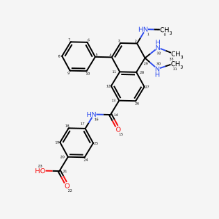 CNC1C=C(c2ccccc2)c2cc(C(=O)Nc3ccc(C(=O)O)cc3)ccc2C1(NC)NC